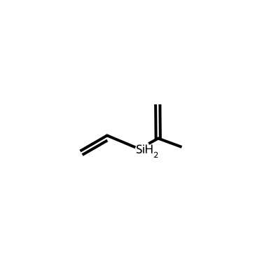 C=C[SiH2]C(=C)C